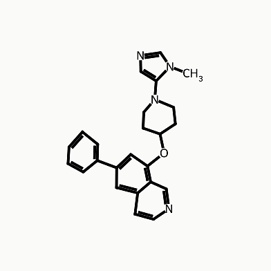 Cn1cncc1N1CCC(Oc2cc(-c3ccccc3)cc3ccncc23)CC1